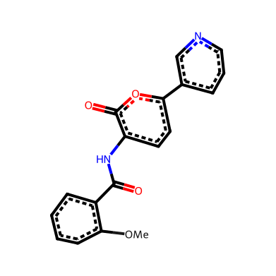 COc1ccccc1C(=O)Nc1ccc(-c2cccnc2)oc1=O